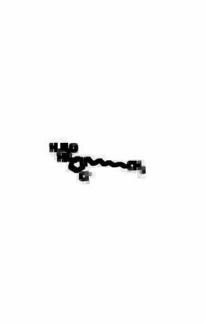 CCCCCCCCC[n+]1cccc(NC(N)=O)c1.[Cl-]